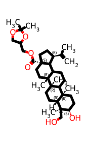 C=C(C)[C@@H]1CC[C@]2(C(=O)OCC3COC(C)(C)O3)CC[C@]3(C)C(CCC4[C@@]5(C)CC[C@H](O)[C@@](C)(CO)[C@@H]5CC[C@]43C)C12